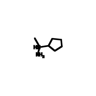 C[SiH](N)C1CCCC1